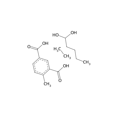 CC.CCCCC(O)O.Cc1ccc(C(=O)O)cc1C(=O)O